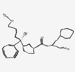 CCOCCC[C@](O)(c1ccccc1)[C@@H]1CCCN(C(=O)NC(CNC)CC2CCCCC2)C1